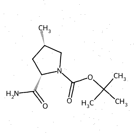 C[C@H]1C[C@@H](C(N)=O)N(C(=O)OC(C)(C)C)C1